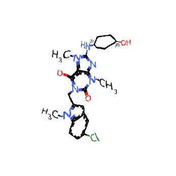 Cn1c(Cn2c(=O)c3c(nc(N[C@H]4CC[C@@H](O)C4)n3C)n(C)c2=O)cc2cc(Cl)ccc21